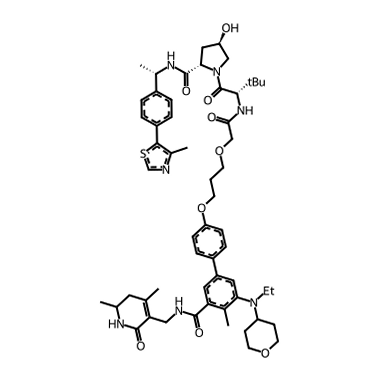 CCN(c1cc(-c2ccc(OCCCOCC(=O)N[C@H](C(=O)N3C[C@H](O)C[C@H]3C(=O)N[C@@H](C)c3ccc(-c4scnc4C)cc3)C(C)(C)C)cc2)cc(C(=O)NCC2=C(C)CC(C)NC2=O)c1C)C1CCOCC1